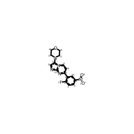 O=[N+]([O-])c1ccc(F)c(-c2ccn3c(N4CCOCC4)cnc3n2)c1